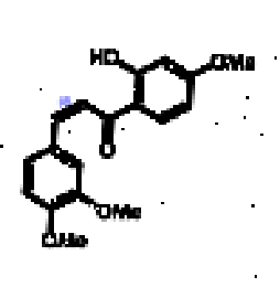 COc1ccc(C(=O)/C=C\c2ccc(OC)c(OC)c2)c(O)c1